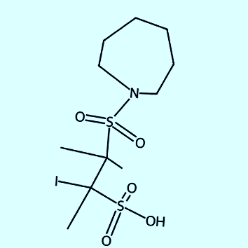 CC(I)(C(C)(C)S(=O)(=O)N1CCCCCC1)S(=O)(=O)O